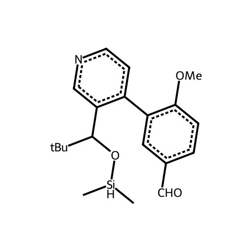 COc1ccc(C=O)cc1-c1ccncc1C(O[SiH](C)C)C(C)(C)C